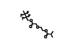 CC(C)C(=O)OCCOCC(=O)OCC(F)(F)C(C)(F)F